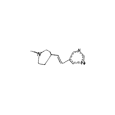 CN1CCC(C=Cc2cncnc2)C1